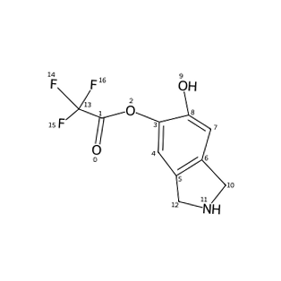 O=C(Oc1cc2c(cc1O)CNC2)C(F)(F)F